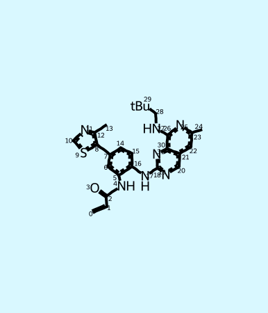 C=CC(=O)Nc1cc(-c2scnc2C)ccc1Nc1ncc2cc(C)nc(NCC(C)(C)C)c2n1